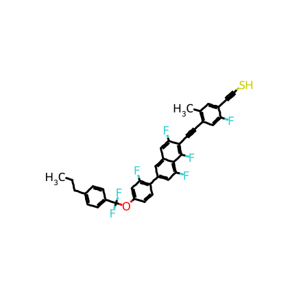 CCCc1ccc(C(F)(F)Oc2ccc(-c3cc(F)c4c(F)c(C#Cc5cc(F)c(C#CS)cc5C)c(F)cc4c3)c(F)c2)cc1